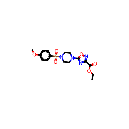 CCOC(=O)c1noc(N2CCN(S(=O)(=O)c3ccc(OC)cc3)CC2)n1